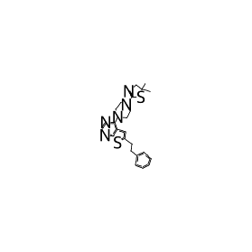 CC1(C)CN=C(N2CCN(c3ncnc4sc(CCc5ccccc5)cc34)CC2)S1